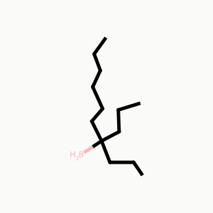 BC(CCC)(CCC)CCCCCC